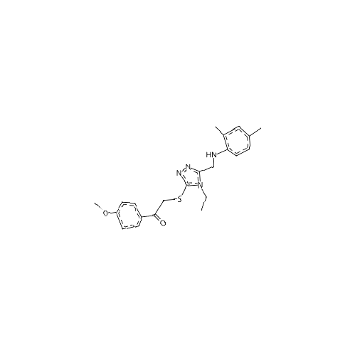 CCn1c(CNc2ccc(C)cc2C)nnc1SCC(=O)c1ccc(OC)cc1